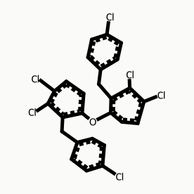 Clc1ccc(Cc2c(Oc3ccc(Cl)c(Cl)c3Cc3ccc(Cl)cc3)ccc(Cl)c2Cl)cc1